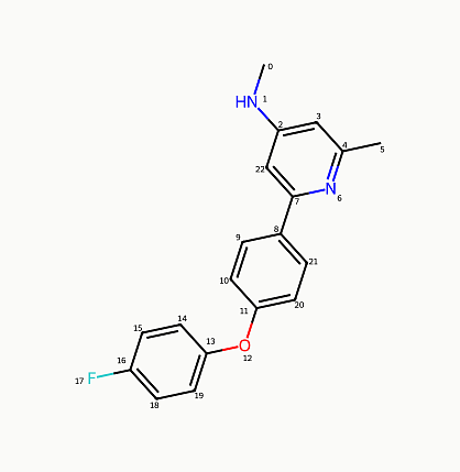 CNc1cc(C)nc(-c2ccc(Oc3ccc(F)cc3)cc2)c1